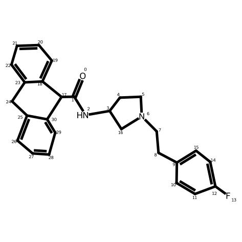 O=C(NC1CCN(CCc2ccc(F)cc2)C1)C1c2ccccc2Cc2ccccc21